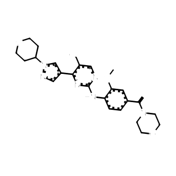 COc1cc(C(=O)N2CCOCC2)ccc1Nc1ncc(Cl)c(-c2cnn(C3CCOCC3)c2)n1